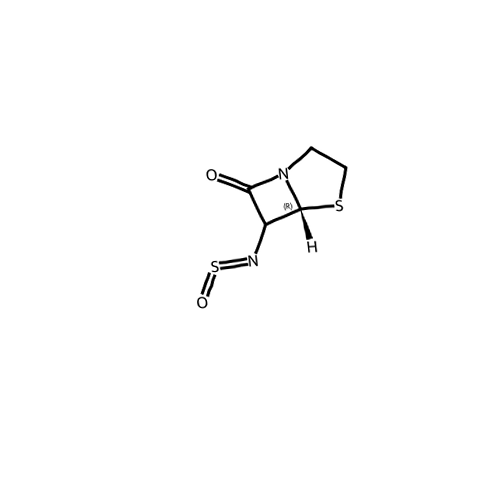 O=S=NC1C(=O)N2CCS[C@H]12